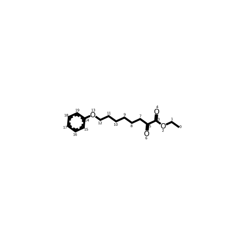 CCOC(=O)C(=O)CCCCCCOc1ccccc1